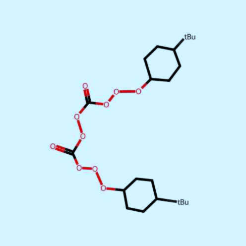 CC(C)(C)C1CCC(OOOC(=O)OOC(=O)OOOC2CCC(C(C)(C)C)CC2)CC1